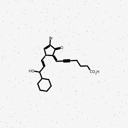 O=C(O)CCCC#CC=C1C(=O)C(Br)=CC1C=CC(O)C1CCCCC1